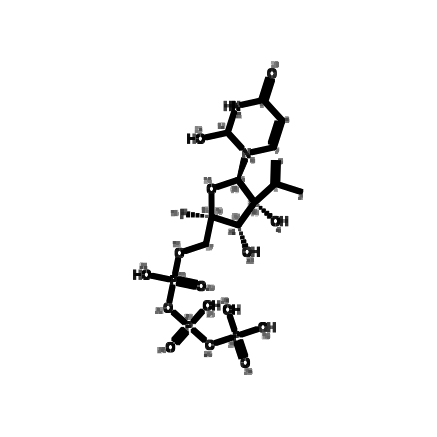 C=C(C)[C@]1(O)[C@H](N2C=CC(=O)NC2O)O[C@](F)(COP(=O)(O)OP(=O)(O)OP(=O)(O)O)[C@H]1O